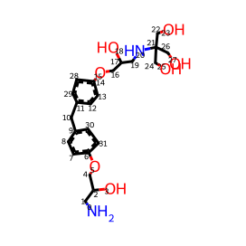 NCC(O)COc1ccc(Cc2ccc(OCC(O)CNC(CO)(CO)CO)cc2)cc1